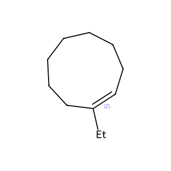 CC/C1=C/CCCCCCC1